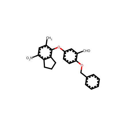 Cc1cc([N+](=O)[O-])c2c(c1Oc1ccc(OCc3ccccc3)c(C=O)c1)CCC2